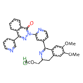 COc1cc2c(cc1OC)C(c1ccnc(-n3nc(-c4cccnc4)c4ccccc4c3=O)c1)=NC(COC(C)=O)C2.Cl